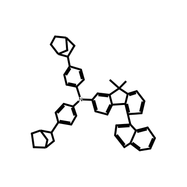 CC1(C)c2cc(N(c3ccc(C4CC5CCC4C5)cc3)c3ccc(C4CC5CCC4C5)cc3)ccc2-c2c(-c3cccc4ccccc34)cccc21